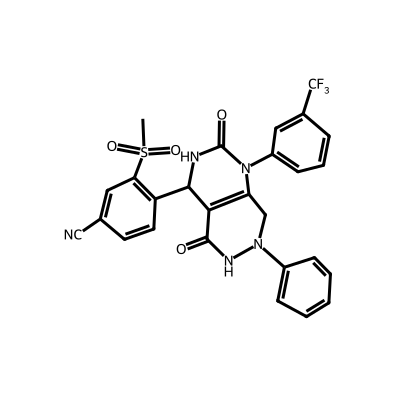 CS(=O)(=O)c1cc(C#N)ccc1C1NC(=O)N(c2cccc(C(F)(F)F)c2)C2=C1C(=O)NN(c1ccccc1)C2